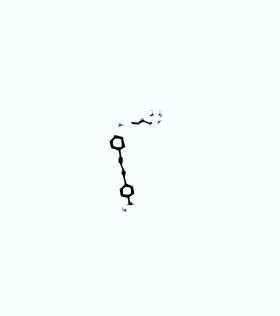 CNC(=O)c1ccc(C#CC#Cc2ccc(NC(C)OC/C=C(/CS(C)(=O)=O)OC)cc2)cc1